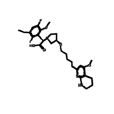 CCc1cc(F)c(OC)c([C@H](C(=O)O)N2CC[C@@H](OCCCCCc3cc(OC)c4c(n3)NCCC4)C2)c1F